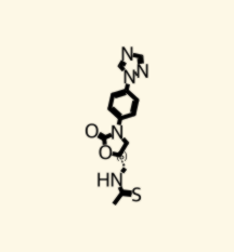 CC(=S)NC[C@H]1CN(c2ccc(-n3cncn3)cc2)C(=O)O1